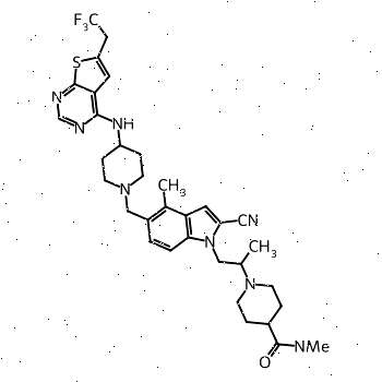 CNC(=O)C1CCN(C(C)Cn2c(C#N)cc3c(C)c(CN4CCC(Nc5ncnc6sc(CC(F)(F)F)cc56)CC4)ccc32)CC1